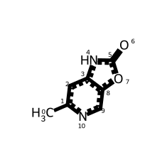 Cc1cc2[nH]c(=O)oc2cn1